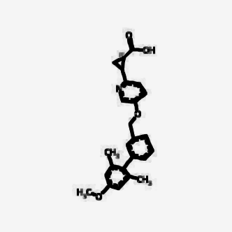 COc1cc(C)c(-c2cccc(COc3ccc(C4C[C@H]4C(=O)O)nc3)c2)c(C)c1